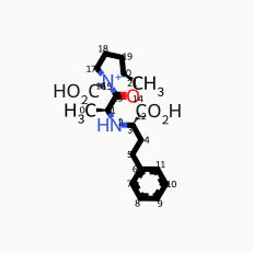 C[C@H](N[C@@H](CCc1ccccc1)C(=O)O)C(=O)[N+]1(C(=O)O)CCC[C@H]1C